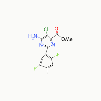 COC(=O)c1nc(-c2cc(F)c(C)cc2F)nc(N)c1Cl